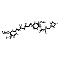 COc1cc(/C=C/C(=O)CC(=O)/C=C/c2ccc(OC(=O)N(C)CCN3CCCC3)c(OC)c2)ccc1O